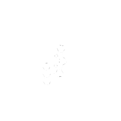 c1ccc2c(-c3cccc4c3oc3c4ccc4c5ccccc5oc43)c3ccccc3cc2c1